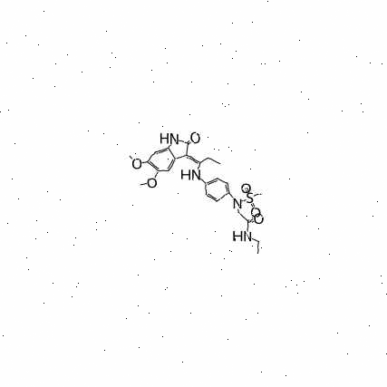 CCNC(=O)CN(c1ccc(NC(CC)=C2C(=O)Nc3cc(OC)c(OC)cc32)cc1)S(C)(=O)=O